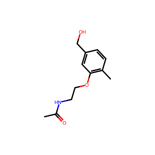 CC(=O)NCCOc1cc(CO)ccc1C